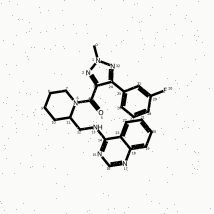 Cn1nc(C(=O)N2CCCCC2CNc2ncnc3ccccc23)c(-c2cccc(F)c2)n1